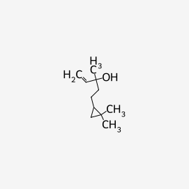 C=CC(C)(O)CCC1CC1(C)C